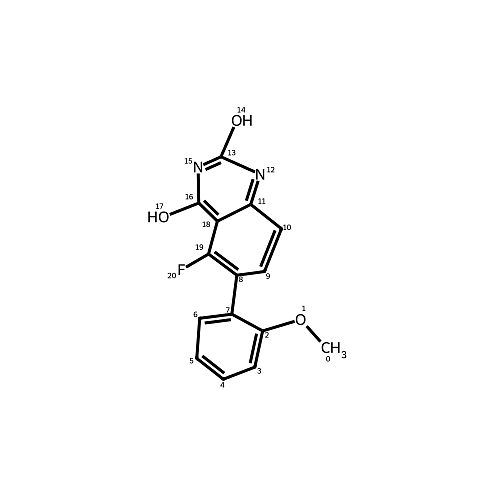 COc1ccccc1-c1ccc2nc(O)nc(O)c2c1F